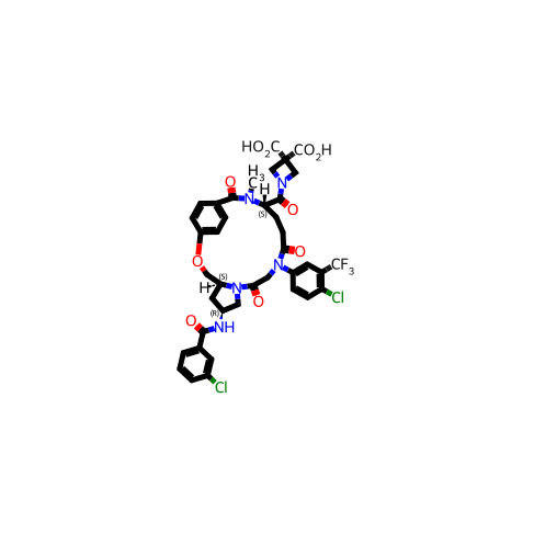 CN1C(=O)c2ccc(cc2)OC[C@@H]2C[C@@H](NC(=O)c3cccc(Cl)c3)CN2C(=O)CN(c2ccc(Cl)c(C(F)(F)F)c2)C(=O)CC[C@H]1C(=O)N1CC(C(=O)O)(C(=O)O)C1